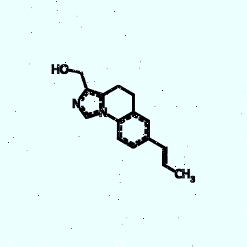 CC=Cc1ccc2c(c1)CCc1c(CO)ncn1-2